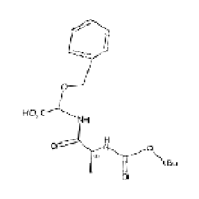 C[C@H](NC(=O)OC(C)(C)C)C(=O)NC(OCc1ccccc1)C(=O)O